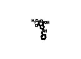 COC(=O)C1CC(NCc2ccccc2)CC1C(=O)O